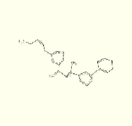 C=C(/N=C(\C)c1cccc(C2=CCCC=C2)c1)c1cccc(C/C=C\CC)c1